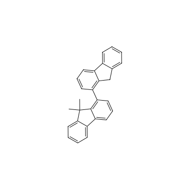 CC1(C)c2ccccc2-c2cccc(-c3cccc4c3Cc3ccccc3-4)c21